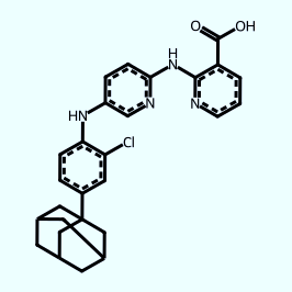 O=C(O)c1cccnc1Nc1ccc(Nc2ccc(C34CC5CC(CC(C5)C3)C4)cc2Cl)cn1